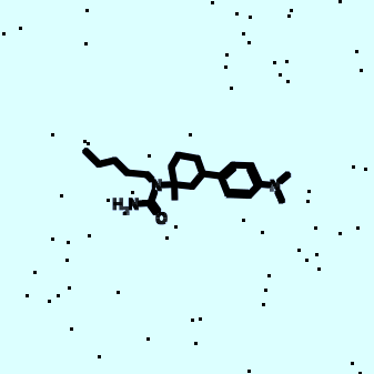 CCCCCN(C(N)=O)C1(C)CCCC(c2ccc(N(C)C)cc2)C1